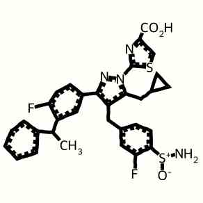 CC(c1ccccc1)c1cc(-c2nn(-c3nc(C(=O)O)cs3)c(CC3CC3)c2Cc2ccc([S+](N)[O-])c(F)c2)ccc1F